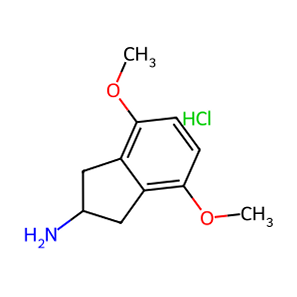 COc1ccc(OC)c2c1CC(N)C2.Cl